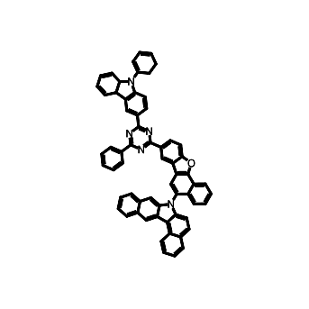 C1=CCCC(N2c3ccc(-c4nc(-c5ccccc5)nc(-c5ccc6oc7c8ccccc8c(-n8c9cc%10ccccc%10cc9c9c%10ccccc%10ccc98)cc7c6c5)n4)cc3C3C=CC=CC32)=C1